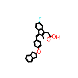 CC1=C(CC(=O)O)c2cc(F)ccc2C1=Cc1ccc(OC2Cc3ccccc3C2)cc1